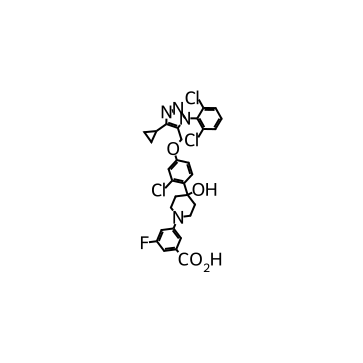 O=C(O)c1cc(F)cc(N2CCC(O)(c3ccc(OCc4c(C5CC5)nnn4-c4c(Cl)cccc4Cl)cc3Cl)CC2)c1